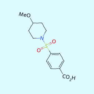 COC1CCN(S(=O)(=O)c2ccc(C(=O)O)cc2)CC1